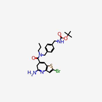 CCCN(Cc1ccc(CNC(=O)OC(C)(C)C)cc1)C(=O)C1=Cc2sc(Br)cc2N=C(N)C1